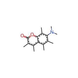 Cc1c(N(C)C)c(C)c2oc(=O)c(C)c(C)c2c1C